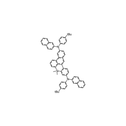 CC(C)(C)c1ccc(N(c2ccc3c(c2)[Si](C)(C)c2cccc4c2c-3cc2ccc(N(c3ccc(C(C)(C)C)cc3)c3ccc5ccccc5c3)cc24)c2ccc3ccccc3c2)cc1